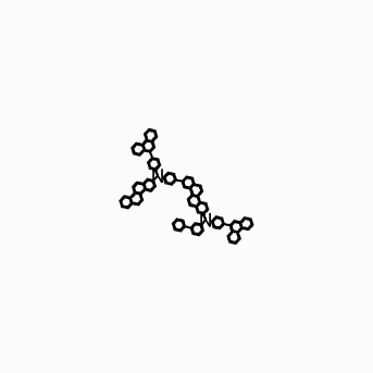 c1ccc(-c2cccc(N(c3ccc(-c4cc5ccccc5c5ccccc45)cc3)c3ccc4c(ccc5c6cc(-c7ccc(N(c8ccc(-c9cc%10ccccc%10c%10ccccc9%10)cc8)c8ccc9c(ccc%10c%11ccccc%11ccc9%10)c8)cc7)ccc6ccc45)c3)c2)cc1